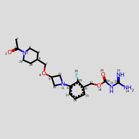 CC(=O)N1CCC(COC2CN(c3cccc(COC(=O)NC(=N)N)c3F)C2)CC1